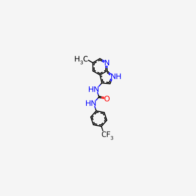 Cc1cnc2[nH]cc(NC(=O)Nc3ccc(C(F)(F)F)cc3)c2c1